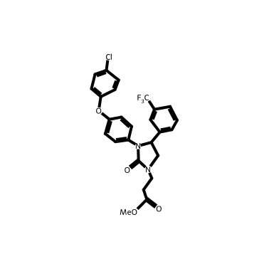 COC(=O)CCN1CC(c2cccc(C(F)(F)F)c2)N(c2ccc(Oc3ccc(Cl)cc3)cc2)C1=O